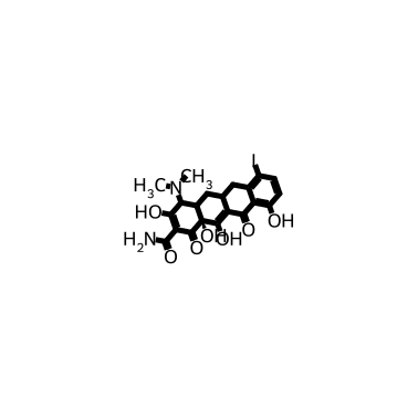 CN(C)C1C(O)=C(C(N)=O)C(=O)[C@@]2(O)C(O)=C3C(=O)c4c(O)ccc(I)c4CC3CC12